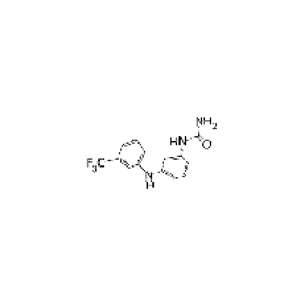 NC(=O)Nc1cccc(Nc2cccc(C(F)(F)F)c2)c1